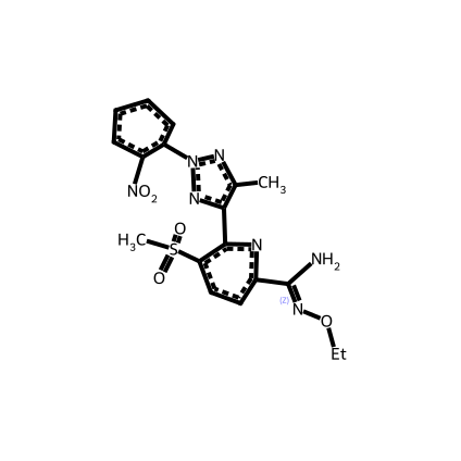 CCO/N=C(\N)c1ccc(S(C)(=O)=O)c(-c2nn(-c3ccccc3[N+](=O)[O-])nc2C)n1